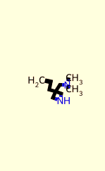 C=CCC1(CN(C)C)CNC1